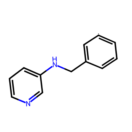 [c]1cccc(CNc2cccnc2)c1